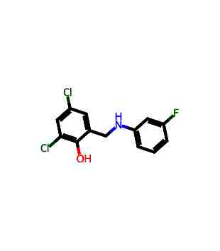 Oc1c(Cl)cc(Cl)cc1CNc1cccc(F)c1